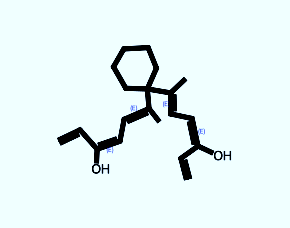 C=C/C(O)=C\C=C(/C)C1(/C(C)=C/C=C(/O)C=C)CCCCC1